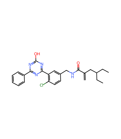 C=C(CC(CC)CC)C(=O)NCc1ccc(Cl)c(-c2nc(O)nc(-c3ccccc3)n2)c1